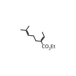 CC=C(CCC=C(C)C)C(=O)OCC